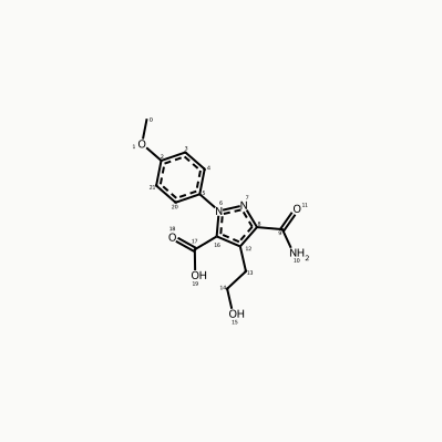 COc1ccc(-n2nc(C(N)=O)c(CCO)c2C(=O)O)cc1